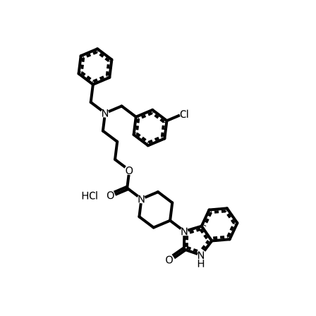 Cl.O=C(OCCCN(Cc1ccccc1)Cc1cccc(Cl)c1)N1CCC(n2c(=O)[nH]c3ccccc32)CC1